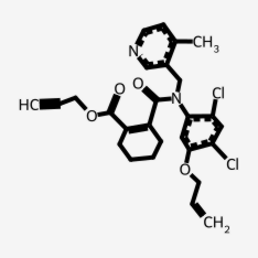 C#CCOC(=O)C1=C(C(=O)N(Cc2cnccc2C)c2cc(OCC=C)c(Cl)cc2Cl)CCCC1